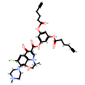 C#CCCCC(=O)Oc1cc(OC(=O)CCCC#C)cc(OC(=O)c2cn3c4c(c(N5CCN(C)CC5)c(F)cc4c2=O)OC[C@@H]3C)c1